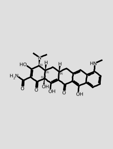 CNc1cccc2c(O)c3c(cc12)C[C@H]1C[C@H]2[C@H](N(C)C)C(O)=C(C(N)=O)C(=O)[C@@]2(O)C(O)=C1C3=O